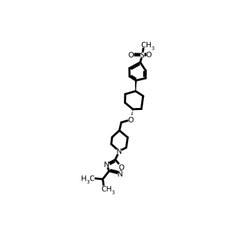 CC(C)c1noc(N2CCC(CO[C@H]3CC[C@H](c4ccc(S(C)(=O)=O)cc4)CC3)CC2)n1